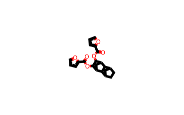 O=C(OC1C2CC(C1OC(=O)c1ccco1)C1C3CCC(C3)C21)c1ccco1